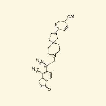 Cc1c([C@@H](N)CN2CCC3(CC2)CCN(c2ccc(C#N)cn2)C3)ccc2c1COC2=O